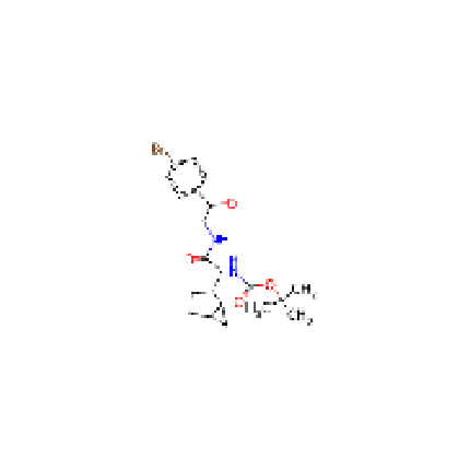 CC(C)(C)OC(=O)NC(C(=O)NCC(=O)c1ccc(Br)cc1)C1CCC2CC21